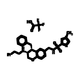 CC(C)CCN[C@H]1COc2ccc(CNS(=O)(=O)c3cn(C)cn3)cc2[C@H]1Cc1ccccc1.O=C(O)C(F)(F)F